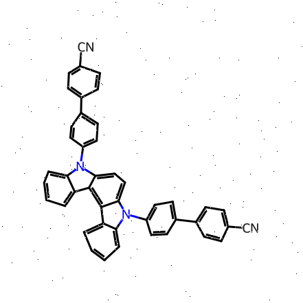 N#Cc1ccc(-c2ccc(-n3c4ccccc4c4c5c6ccccc6n(-c6ccc(-c7ccc(C#N)cc7)cc6)c5ccc43)cc2)cc1